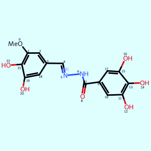 COc1cc(/C=N/NC(=O)c2cc(O)c(O)c(O)c2)cc(O)c1O